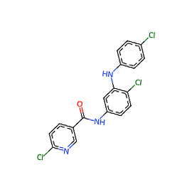 O=C(Nc1ccc(Cl)c(Nc2ccc(Cl)cc2)c1)c1ccc(Cl)nc1